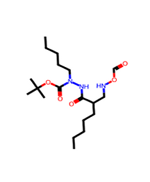 CCCCCC(CNOC=O)C(=O)NN(CCCCC)C(=O)OC(C)(C)C